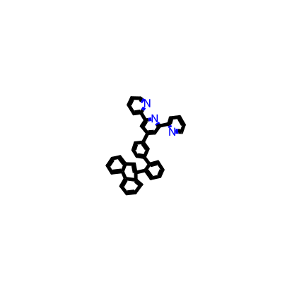 c1ccc(-c2cc(-c3cccc(-c4ccccc4-c4cc5ccccc5c5ccccc45)c3)cc(-c3ccccn3)n2)nc1